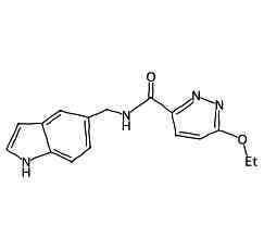 CCOc1ccc(C(=O)NCc2ccc3[nH]ccc3c2)nn1